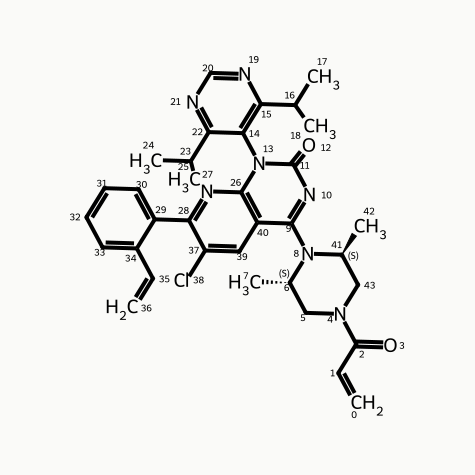 C=CC(=O)N1C[C@H](C)N(c2nc(=O)n(-c3c(C(C)C)ncnc3C(C)C)c3nc(-c4ccccc4C=C)c(Cl)cc23)[C@@H](C)C1